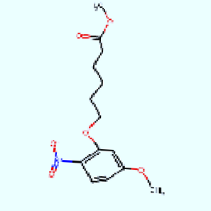 COC(=O)CCCCCOc1cc(OC)ccc1[N+](=O)[O-]